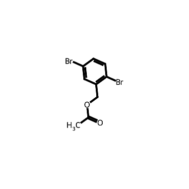 CC(=O)OCc1cc(Br)ccc1Br